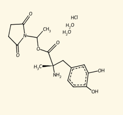 CC(OC(=O)[C@@](C)(N)Cc1ccc(O)c(O)c1)N1C(=O)CCC1=O.Cl.O.O